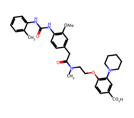 COc1cc(CC(=O)N(C)CCOc2ccc(C(=O)O)cc2N2CCCCC2)ccc1NC(=O)Nc1ccccc1C